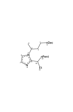 CCCCCCCCCCCCC(C)n1ccnc1C(CC)CCCCC